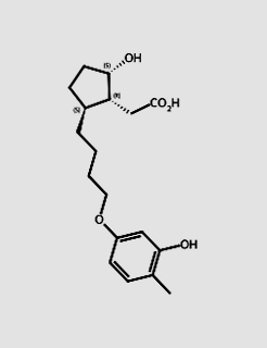 Cc1ccc(OCCCC[C@H]2CC[C@H](O)[C@@H]2CC(=O)O)cc1O